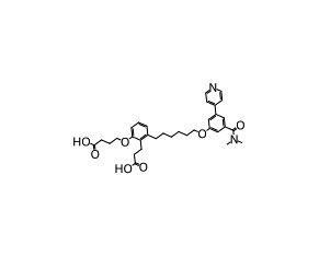 CN(C)C(=O)c1cc(OCCCCCCc2cccc(OCCCC(=O)O)c2CCC(=O)O)cc(-c2ccncc2)c1